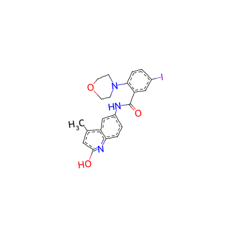 Cc1cc(O)nc2ccc(NC(=O)c3cc(I)ccc3N3CCOCC3)cc12